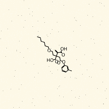 C=C(C(=O)O)C(CCOCCCCCC)(CC(=O)Oc1cccc(C)c1)C(=O)O